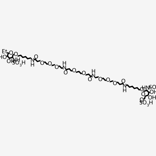 CCC1OC(OCCCCCCNC(=O)CCOCCOCCOCCNC(=O)CCOCCCOCCC(=O)NCCOCCOCCOCCC(=O)NCCCCCCOC2OC(COS(=O)(=O)O)C(O)C(O)C2NS(=O)(=O)O)C(NS(=O)(=O)O)C(O)C1O